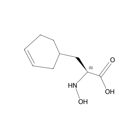 O=C(O)[C@H](CC1CC=CCC1)NO